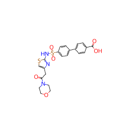 O=C(O)c1ccc(-c2ccc(S(=O)(=O)Nc3nc(CC(=O)N4CCOCC4)cs3)cc2)cc1